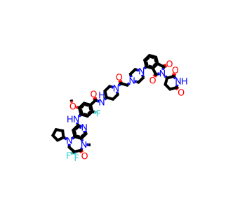 COc1cc(C(=O)NC2CCN(C(=O)CN3CCN(c4cccc5c4C(=O)N(C4CCC(=O)NC4=O)C5=O)CC3)CC2)c(F)cc1Nc1cc2c(cn1)N(C)C(=O)C(F)(F)CN2C1CCCC1